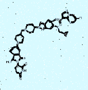 O=C1CCC(N2C(=O)c3cc(N4CCC(CN5CCC(n6cc7cc(NC(=O)c8cnn9cc(Cl)cnc89)c(OCC8CC8)cc7n6)CC5)CC4)ccc3C2O)C(=O)N1